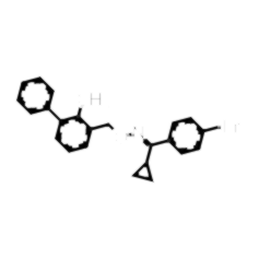 Cc1c(CON=C(c2ccc(C(C)C)cc2)C2CC2)cccc1-c1ccccc1